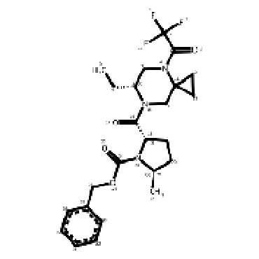 CC[C@@H]1CN(C(=O)C(F)(F)F)C2(CC2)CN1C(=O)[C@@H]1CC[C@@H](C)N1C(=O)OCc1ccccc1